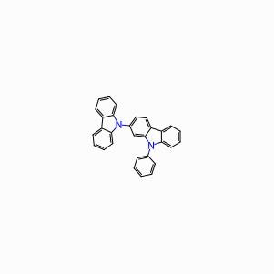 c1ccc(-n2c3ccccc3c3ccc(-n4c5ccccc5c5ccccc54)cc32)cc1